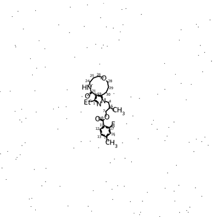 CCc1nn(C[C@@H](C)COC(=O)c2ccc(C)cc2F)c2c1C(=O)NCCCOCCC2